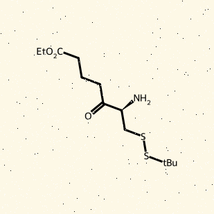 CCOC(=O)CCCC(=O)[C@@H](N)CSSC(C)(C)C